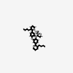 CCCCc1cccnc1-c1ccc2c(c1)Oc1ccc(-c3ncccc3CCCC)cc1N2C(CC)S(=O)(=O)O